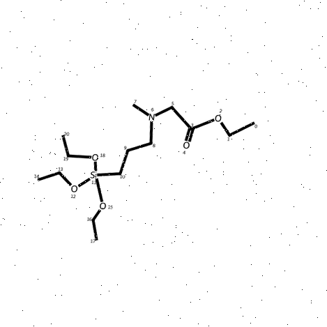 CCOC(=O)CN(C)CCC[Si](OCC)(OCC)OCC